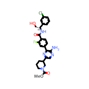 COC(=O)N1CCCC(c2cnc(N)c(-c3ccc(C(=O)N[C@H](CO)c4cccc(Cl)c4)c(F)c3)n2)C1